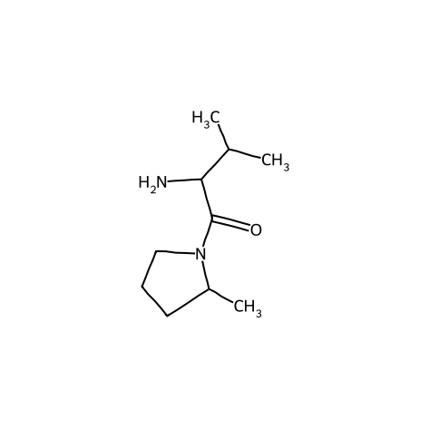 CC(C)C(N)C(=O)N1CCCC1C